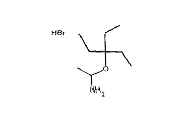 Br.CCC(CC)(CC)OC(C)N